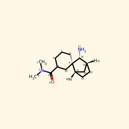 CN(C)C(=O)C1CCC[C@@]2(C1)[C@H]1CC[C@H](C1)[C@H]2N